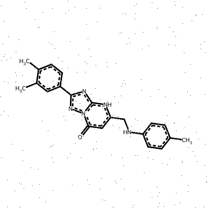 Cc1ccc(NCc2cc(=O)n3nc(-c4ccc(C)c(C)c4)nc3[nH]2)cc1